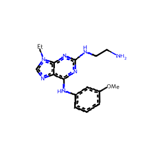 CCn1cnc2c(Nc3cccc(OC)c3)nc(NCCN)nc21